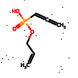 C=C=CP(=O)(O)OCC=C